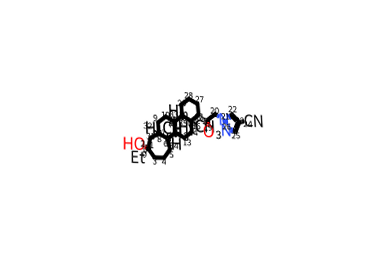 CC[C@@]1(O)CCC[C@@]2(C)[C@H](CC[C@@H]3[C@@H]2CC[C@]2(C)[C@@H](C(=O)Cn4cc(C#N)cn4)CCC[C@@H]32)C1